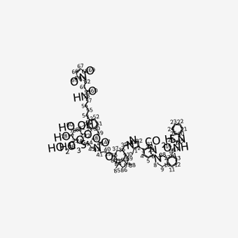 Cc1c(-c2ccc(N3CCc4cccc(C(=O)Nc5nc6ccccc6s5)c4C3)nc2C(=O)O)cnn1CC12CC3(OCCN(CCS(=O)(=O)O)C(=O)OCc4ccc(CCCCNC(=O)CCN5C(=O)C=CC5=O)cc4O[C@@H]4O[C@H](C(=O)O)[C@@H](O)[C@H](O)[C@H]4O)CC4(C)CC(C)(C1)C4(C2)C3